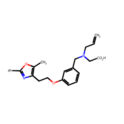 C=CCN(CC(=O)O)Cc1cccc(OCCc2nc(C(C)C)oc2C)c1